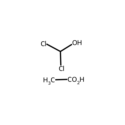 CC(=O)O.OC(Cl)Cl